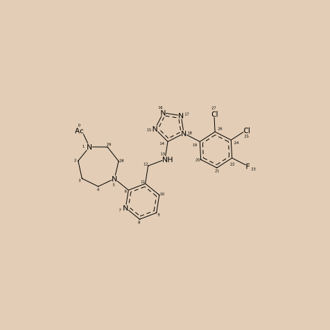 CC(=O)N1CCCN(c2ncccc2CNc2nnnn2-c2ccc(F)c(Cl)c2Cl)CC1